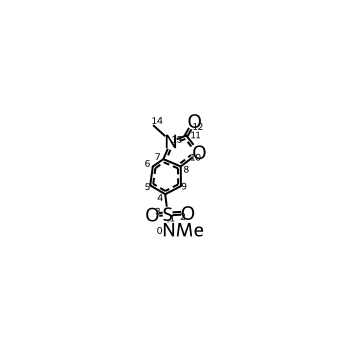 CNS(=O)(=O)c1ccc2c(c1)oc(=O)n2C